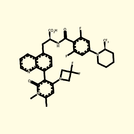 Cc1cc(N2CC(F)(F)C2)c(-c2ccc(C[C@H](NC(=O)c3c(F)cc(N4CCCC[C@@H]4C(F)(F)F)cc3F)C(=O)O)c3cccnc23)c(=O)n1C